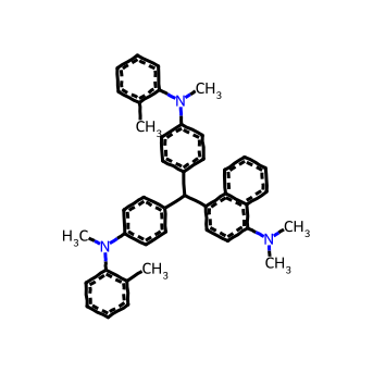 Cc1ccccc1N(C)c1ccc(C(c2ccc(N(C)c3ccccc3C)cc2)c2ccc(N(C)C)c3ccccc23)cc1